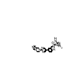 N=C(N)NC(=O)NCc1cccc(-c2cnc(N3CCn4cnnc4C3)nc2)c1